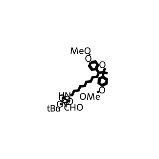 COCOc1ccc(C2(C)COc3cc(OCOC)ccc3C2CCCCCCCCCNS(=O)(=O)N(C=O)OC(C)(C)C)cc1